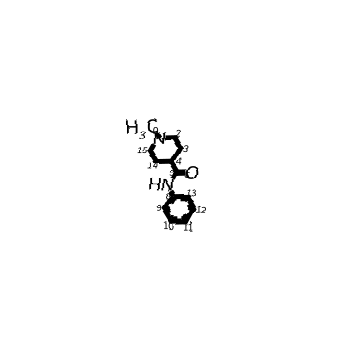 CN1CCC(C(=O)Nc2cc[c]cc2)CC1